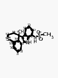 CC1(c2c[nH]c3c(NS(C)(=O)=O)cccc23)CCSc2ccccc21